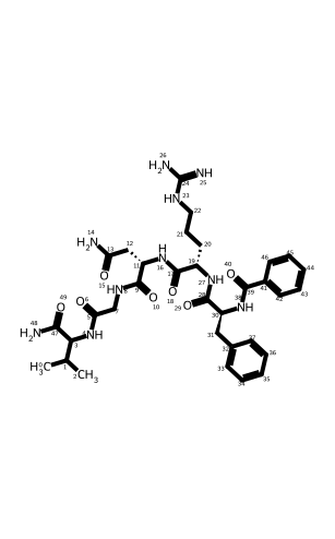 CC(C)C(NC(=O)CNC(=O)[C@H](CC(N)=O)NC(=O)[C@H](CCCNC(=N)N)NC(=O)[C@H](Cc1ccccc1)NC(=O)c1ccccc1)C(N)=O